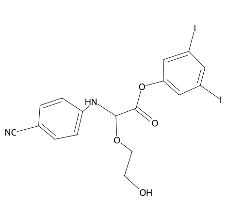 N#Cc1ccc(NC(OCCO)C(=O)Oc2cc(I)cc(I)c2)cc1